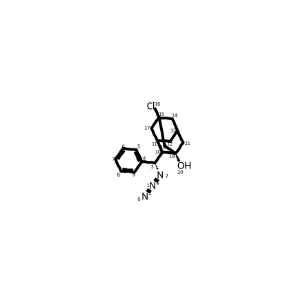 [N-]=[N+]=N[C@H](c1ccccc1)C1C2CC3CC(Cl)(C2)C[C@]1(O)C3